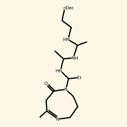 CCCCCCCCCCCCNC(C)NC(C)NC(CC)N1CCC/N=C(/C)CC1=O